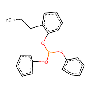 CCCCCCCCCCCCc1ccccc1OP(Oc1ccccc1)Oc1ccccc1